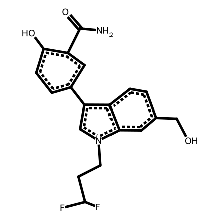 NC(=O)c1cc(-c2cn(CCC(F)F)c3cc(CO)ccc23)ccc1O